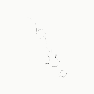 O=C1CC(c2nccs2)CC(=O)C1=CNCCN1CCN(CCO)CC1